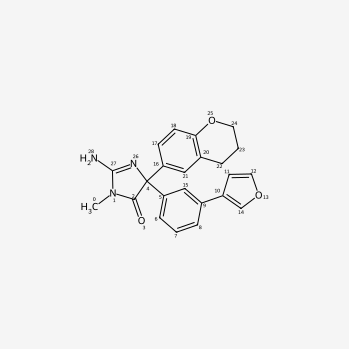 CN1C(=O)C(c2cccc(-c3ccoc3)c2)(c2ccc3c(c2)CCCO3)N=C1N